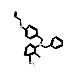 C=CCOc1ccc(CN(Cc2ccccc2)c2cccc([N+](=O)[O-])c2C)cc1